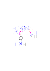 CCNC(=O)O[C@@H]1CCN(c2cnc(N)c(C(=N)OC(=N)c3ccc(CNC)cc3)n2)C1